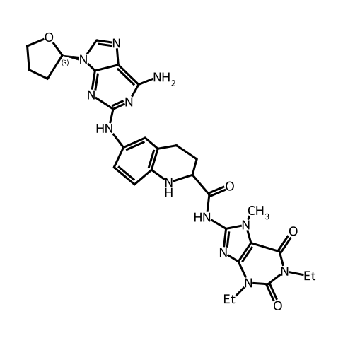 CCn1c(=O)c2c(nc(NC(=O)C3CCc4cc(Nc5nc(N)c6ncn([C@H]7CCCO7)c6n5)ccc4N3)n2C)n(CC)c1=O